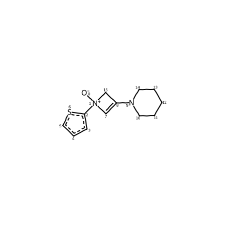 [O-][N+]1(c2cccs2)C=C(N2CCCCC2)C1